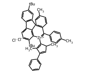 CC1=[C]([Zr+2](=[C](c2ccc(C)cc2)c2ccc(C)cc2)[c]2c(C(C)(C)C)ccc3c2Cc2cc(C(C)(C)C)ccc2-3)C(C)C=C1c1ccccc1.[Cl-].[Cl-]